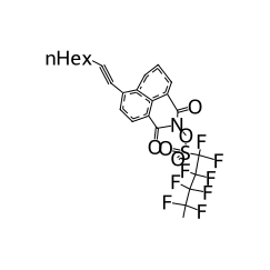 CCCCCCC#Cc1ccc2c3c(cccc13)C(=O)N(OS(=O)(=O)C(F)(F)C(F)(F)C(F)(F)C(C)(F)F)C2=O